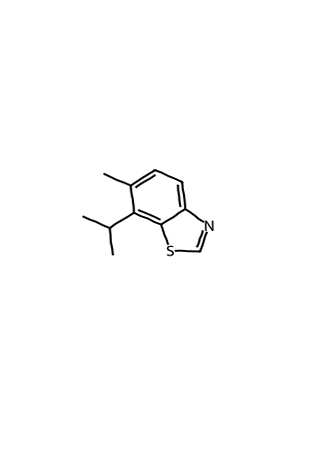 Cc1ccc2ncsc2c1C(C)C